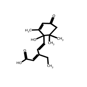 CCC(=C/C(=O)O)/C=C/C1(O)C(C)=CC(=O)CC1(C)C